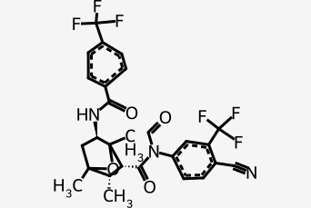 C[C@H]1[C@@H](C(=O)N(C=O)c2ccc(C#N)c(C(F)(F)F)c2)C2(C)OC1(C)C[C@H]2NC(=O)c1ccc(C(F)(F)F)cc1